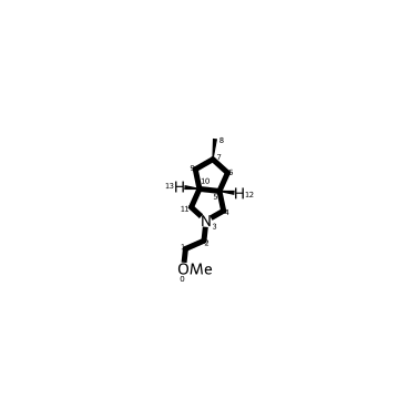 COCCN1C[C@H]2C[C@H](C)C[C@H]2C1